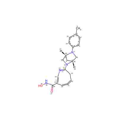 Cc1ccc(N2C[C@H]3C[C@@H]2CN3/C2=N/C=C(/C(=O)NO)C=C=CC2)cc1